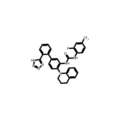 O=C(Nc1ccc(C(F)(F)F)cc1F)Nc1cc(-c2ccccc2-c2nnn[nH]2)ccc1N1CCCc2ccccc21